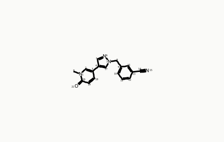 Cn1cc(-c2cnn(Cc3cccc(C#N)c3)c2)ccc1=O